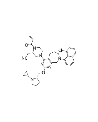 C=CC(=O)N1CCN(c2nc(OC[C@@H]3CCCN3C3CC3)nc3c2CCCN(c2cccc4cccc(Cl)c24)C3)C[C@@H]1CC#N